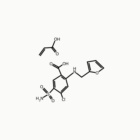 C=CC(=O)O.NS(=O)(=O)c1cc(C(=O)O)c(NCc2ccco2)cc1Cl